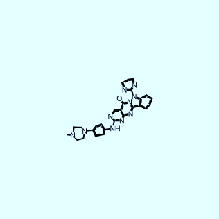 CN1CCN(c2ccc(Nc3ncc4c(=O)n5c(nc4n3)c3ccccc3n5-c3ncccn3)cc2)CC1